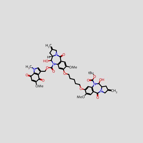 C=C1CC2C(O)N(C(=O)OC(C)(C)C)c3cc(OCCCCCOc4cc5c(cc4OC)C(=O)N4CC(=C)C[C@H]4C(O)N5C(=O)OCc4cn(C)c5c4C(=O)C(OC)=CC5=O)c(OC)cc3C(=O)N2C1